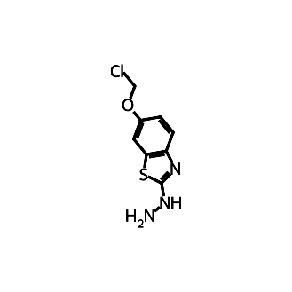 NNc1nc2ccc(OCCl)cc2s1